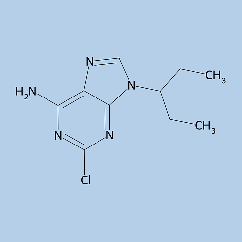 CCC(CC)n1cnc2c(N)nc(Cl)nc21